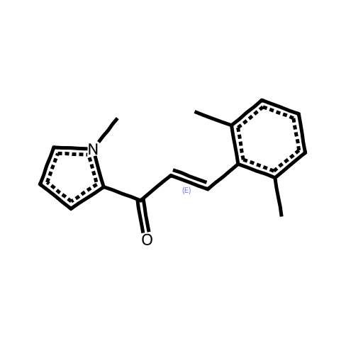 Cc1cccc(C)c1/C=C/C(=O)c1cccn1C